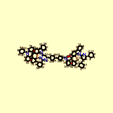 c1ccc(-c2cc(-c3ccccc3)nc(-n3c4ccccc4c4ccc5c(c43)Sc3ccccc3C53c4ccccc4N(c4ccc(-c5ccc(-c6cc(-n7c8ccccc8c8ccc9c(c87)Sc7ccccc7C97c8ccccc8N(c8ccccc8)c8ccccc87)nc(-c7ccccc7)n6)cc5)cc4)c4ccccc43)c2)cc1